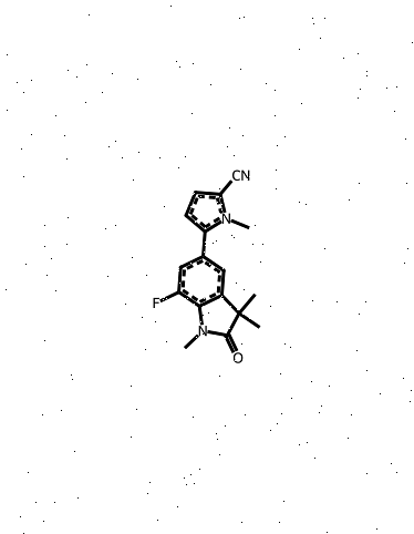 CN1C(=O)C(C)(C)c2cc(-c3ccc(C#N)n3C)cc(F)c21